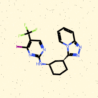 FC(F)(F)c1cnc(N[C@@H]2CCC[C@H](c3nnc4ccccn34)C2)nc1I